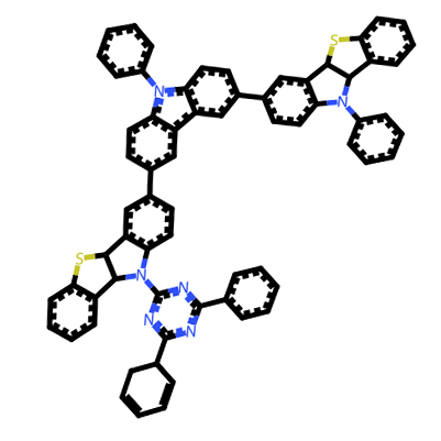 C1=CCC(c2nc(-c3ccccc3)nc(N3c4ccc(-c5ccc6c(c5)c5cc(-c7ccc8c(c7)C7Sc9ccccc9C7N8c7ccccc7)ccc5n6-c5ccccc5)cc4C4Sc5ccccc5C43)n2)C=C1